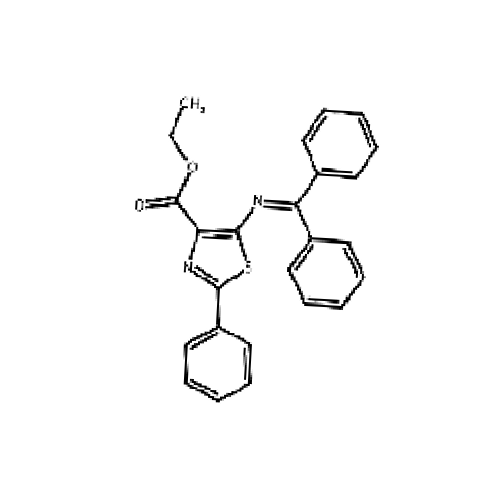 CCOC(=O)c1nc(-c2ccccc2)sc1N=C(c1ccccc1)c1ccccc1